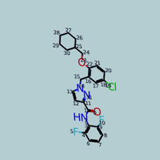 O=C(Nc1c(F)cccc1F)c1ccn(Cc2cc(Cl)ccc2OCC2CCCCC2)n1